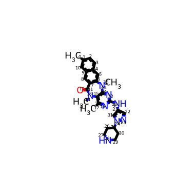 Cc1ccc2cc3c(cc2c1)C(=O)N(C)c1c(C)nc(Nc2cnn(C4CCNCC4)c2)nc1N3C